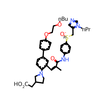 CCCCOCCOc1ccc(-c2ccc(N3CCC(CC(=O)O)C3)c(C=C(C)C(=O)Nc3ccc([S@@+]([O-])Cc4cncn4CCC)cc3)c2)cc1